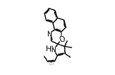 C/C=C\C1=C(C)C(C)(C)C2(C=Nc3c(ccc4ccccc34)O2)N1